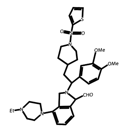 CCN1CCN(c2cccc3c2CN(C(CC2CCN(S(=O)(=O)c4cccs4)CC2)c2ccc(OC)c(OC)c2)C3C=O)CC1